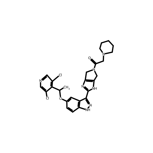 CC(Oc1ccc2[nH]nc(-c3nc4c([nH]3)CN(C(=O)CN3CCCCC3)C4)c2c1)c1c(Cl)cncc1Cl